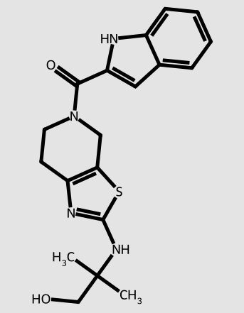 CC(C)(CO)Nc1nc2c(s1)CN(C(=O)c1cc3ccccc3[nH]1)CC2